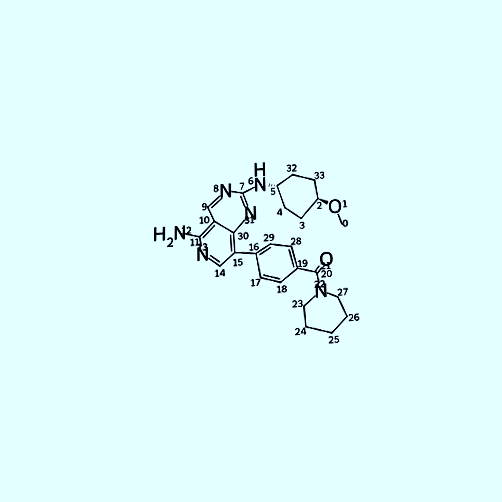 CO[C@H]1CC[C@H](Nc2ncc3c(N)ncc(-c4ccc(C(=O)N5CCCCC5)cc4)c3n2)CC1